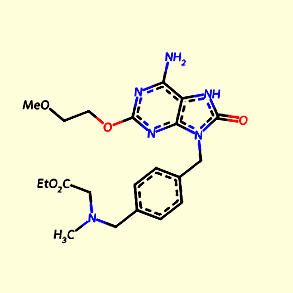 CCOC(=O)CN(C)Cc1ccc(Cn2c(=O)[nH]c3c(N)nc(OCCOC)nc32)cc1